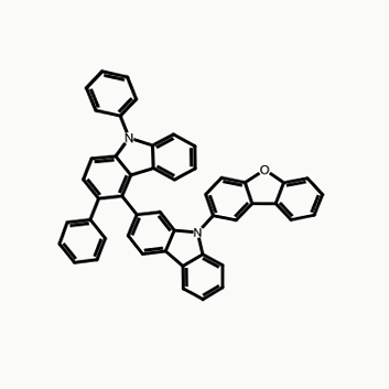 c1ccc(-c2ccc3c(c2-c2ccc4c5ccccc5n(-c5ccc6oc7ccccc7c6c5)c4c2)c2ccccc2n3-c2ccccc2)cc1